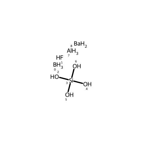 B.F.O[Si](O)(O)O.[AlH3].[BaH2]